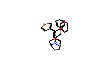 c1ccc(CCN2C3CCC2CC(=C(c2ccccc2)c2ccsc2)C3)cc1